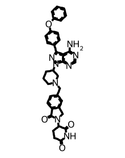 Nc1ncnc2c1c(-c1ccc(Oc3ccccc3)cc1)nn2C1CCCN(Cc2ccc3c(c2)CN(C2CCC(=O)NC2=O)C3=O)C1